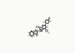 O=C(Nc1cccnc1)c1nn2c(C(F)(F)F)cc(-c3ccc(F)cc3)nc2c1Cl